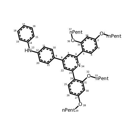 CCCCCOc1ccc(-c2cc(-c3ccc(Nc4ccccc4)cc3)cc(-c3ccc(OCCCCC)cc3OCCCCC)n2)c(OCCCCC)c1